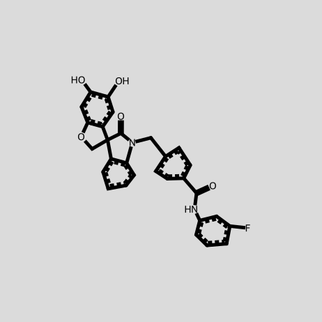 O=C(Nc1cccc(F)c1)c1ccc(CN2C(=O)C3(COc4cc(O)c(O)cc43)c3ccccc32)cc1